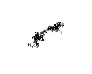 Cc1ncsc1-c1ccc(CNC(=O)[C@@H]2C[C@@H](O)CN2C(=O)[C@@H](NC(=O)c2ccc(CCCOCCCCOc3ccc(N4C(=S)N(c5ccc(C#N)c(C(F)(F)F)c5)C(=O)C4(C)C)cc3)cc2)C(C)(C)C)cc1